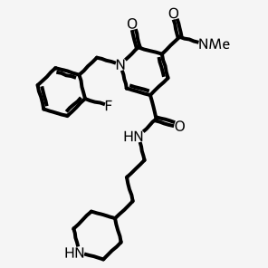 CNC(=O)c1cc(C(=O)NCCCC2CCNCC2)cn(Cc2ccccc2F)c1=O